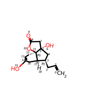 C=CC[C@@H]1C[C@]2(O)CC(=O)O[C@@]23CC=C(O)C[C@H]13